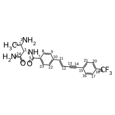 C[C@@H](N)[C@H](NC(=O)c1ccc(/C=C/C#Cc2ccc(C(F)(F)F)cc2)cc1)C(N)=O